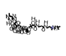 C/C(CCNC(=O)CCNC(=O)[C@@H](O)C(C)(C)COP(=O)(O)OP(=O)(O)OCC1OC(n2cnc3c(C)ncnc32)C(O)C1CP(=O)(O)O)=N\OC(C)(C)C